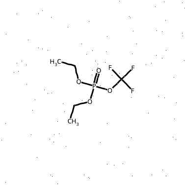 CCOP(=O)(OCC)OC(F)(F)F